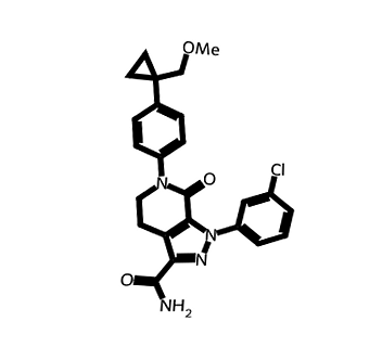 COCC1(c2ccc(N3CCc4c(C(N)=O)nn(-c5cccc(Cl)c5)c4C3=O)cc2)CC1